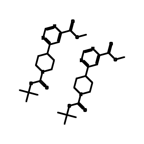 COC(=O)c1cc(C2CCN(C(=O)OC(C)(C)C)CC2)ncn1.COC(=O)c1cc(C2CCN(C(=O)OC(C)(C)C)CC2)ncn1